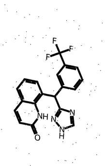 O=c1ccc2cccc(C(c3cccc(C(F)(F)F)c3)c3nc[nH]n3)c2[nH]1